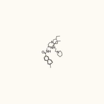 CCC(CC)CN1CC[C@@H](CNC(=O)c2ccc3cc(C)ccc3c2)N[C@@H](CCN2CCCCC2)C1=O